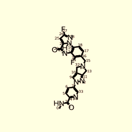 CNC(=O)c1ccc(-n2cc3c(n2)CN(Cc2ccc4c([nH]c(=O)c5cc(F)nn54)c2F)C3)cn1